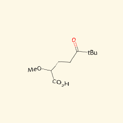 COC(CCC(=O)C(C)(C)C)C(=O)O